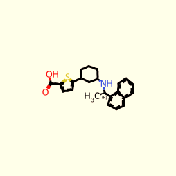 C[C@@H](NC1CCCC(c2ccc(C(=O)O)s2)C1)c1cccc2ccccc12